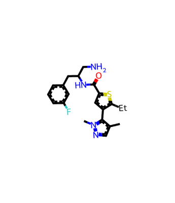 CCc1sc(C(=O)NC(CN)Cc2cccc(F)c2)cc1-c1c(C)cnn1C